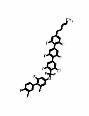 C/C=C/CCc1cc(F)c(-c2cc(F)c(-c3cc(F)c(C(F)(F)Oc4cc(F)c(-c5ccc(F)c(F)c5)c(F)c4)c(Cl)c3)c(F)c2)c(F)c1